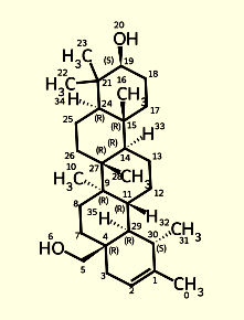 CC1=CC[C@]2(CO)CC[C@]3(C)[C@H](CC[C@@H]4[C@@]5(C)CC[C@H](O)C(C)(C)[C@@H]5CC[C@]43C)[C@H]2[C@@H]1C